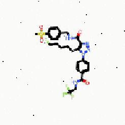 CS(=O)(=O)c1ccc(CNC(=O)c2nnn(-c3ccc(C(=O)NCC(F)(F)F)cc3)c2CCCCCF)cc1